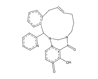 O=C1c2c(O)c(=O)ccn2N2CN1CCC/C=C/Cc1ccccc1C2c1ccccn1